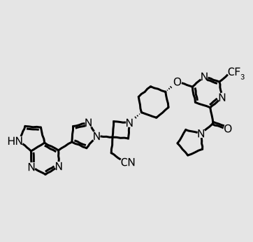 N#CCC1(n2cc(-c3ncnc4[nH]ccc34)cn2)CN([C@H]2CC[C@@H](Oc3cc(C(=O)N4CCCC4)nc(C(F)(F)F)n3)CC2)C1